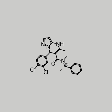 CC1=C(C(=O)N(C)[C@@H](C)c2ccccc2)C(c2ccc(Cl)c(Cl)c2)n2nccc2N1